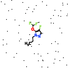 CCCn1n[c]c(F)c1OC(F)F